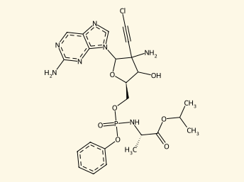 CC(C)OC(=O)[C@H](C)NP(=O)(OC[C@H]1OC(n2cnc3cnc(N)nc32)C(N)(C#CCl)C1O)Oc1ccccc1